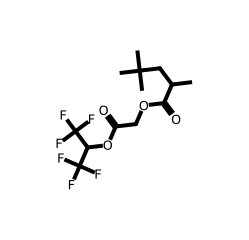 CC(CC(C)(C)C)C(=O)OCC(=O)OC(C(F)(F)F)C(F)(F)F